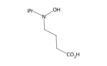 CC(C)N(O)CCCC(=O)O